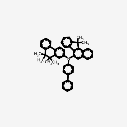 CC1(C)c2ccccc2-c2c(N(c3ccc(-c4ccccc4)cc3)c3ccc4c(c3)C(C)(C)C(C)(C)c3ccccc3-4)cc3ccccc3c21